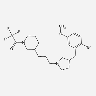 COc1ccc(Br)c(CC2CCN(CCCC3CCCN(C(=O)C(F)(F)F)C3)C2)c1